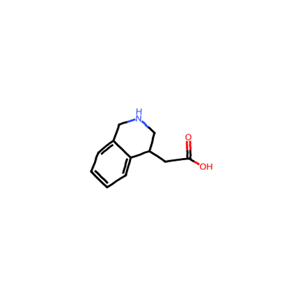 O=C(O)CC1CNCc2ccccc21